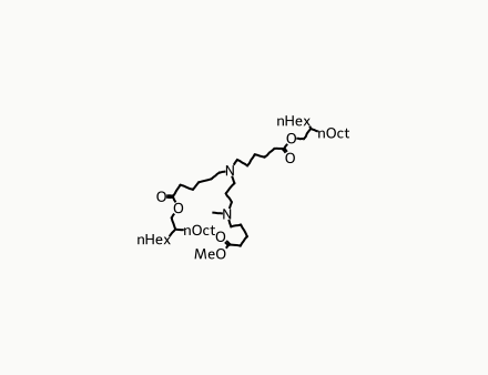 CCCCCCCCC(CCCCCC)COC(=O)CCCCCN(CCCCCC(=O)OCC(CCCCCC)CCCCCCCC)CCCN(C)CCCCC(=O)OC